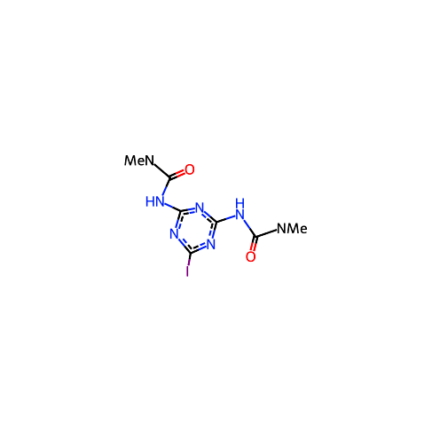 CNC(=O)Nc1nc(I)nc(NC(=O)NC)n1